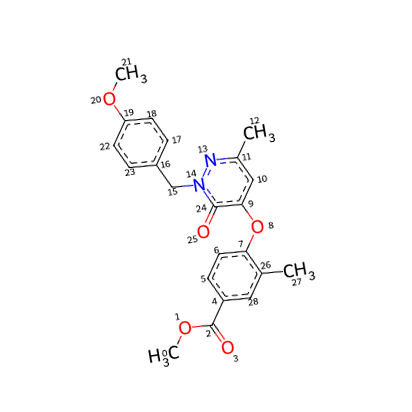 COC(=O)c1ccc(Oc2cc(C)nn(Cc3ccc(OC)cc3)c2=O)c(C)c1